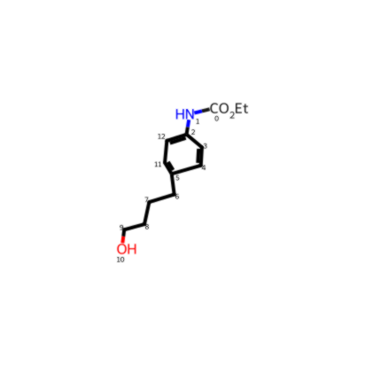 CCOC(=O)Nc1ccc(CCCCO)cc1